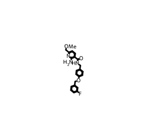 COCc1ccc(C(=O)NCc2ccc(OCc3cccc(F)c3)cc2)c(N)n1